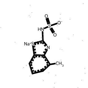 Cc1cccc2sc(NS(=O)(=O)[O-])nc12.[Na+]